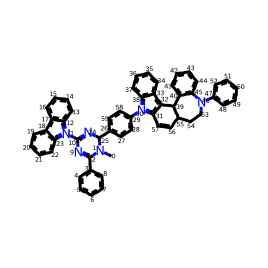 CN1C(c2ccccc2)=NC(n2c3ccccc3c3ccccc32)=NC1c1ccc(-n2c3c(c4ccccc42)C2c4ccccc4N(c4ccccc4)CCC2C=C3)cc1